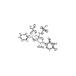 CC(=O)O[C@H]1[C@H](n2ccc(=O)[nH]c2=O)OC(COS(C)(=O)=O)(COS(C)(=O)=O)[C@@H]1OCc1ccccc1